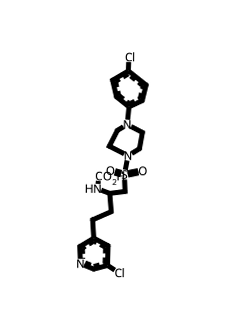 O=C(O)NC(CCc1cncc(Cl)c1)CS(=O)(=O)N1CCN(c2ccc(Cl)cc2)CC1